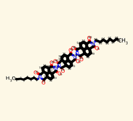 CCCCCCCCN1C(=O)c2ccc3c4c(ccc(c24)C1=O)C(=O)N(N1C(=O)c2ccc4c5c(ccc(c25)C1=O)C(=O)N(N1C(=O)c2ccc5c6c(ccc(c26)C1=O)C(=O)N(CCCCCCCC)C5=O)C4=O)C3=O